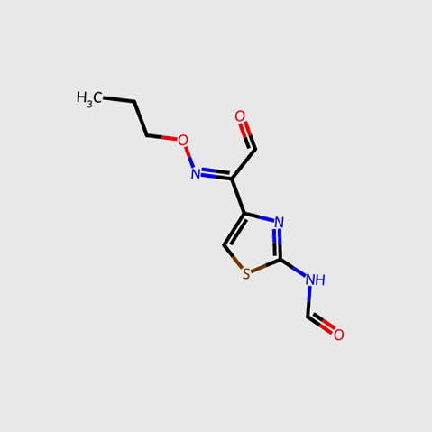 CCCON=C(C=O)c1csc(NC=O)n1